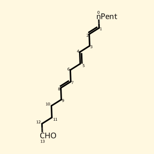 CCCCCC=CCC=CCC=CCCCCC=O